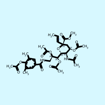 C/C=C/[C@]1(C(=O)OC)C[C@H](OC(C)=O)[C@@H](NC(C)=O)[C@H]([C@H](OC(C)=O)[C@@H](CNC(=O)c2cc(C)c(OC(C)=O)c(C)c2)OC(C)=O)O1